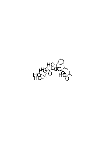 C=C(C)C(=O)O.C=C(C)C(=O)O.C=C(C)C(=O)O.CC(CO)(CO)CO.O=C(O)c1ccccc1